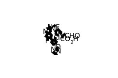 Cc1nc2cnc3cc(F)c(-c4ccc(Oc5ncccn5)cc4Cl)cc3c2n1[C@H]1CCN(C(CC=O)C(=O)O)C[C@@H]1F